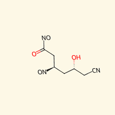 N#CC[C@@H](O)C[C@H](CC(=O)N=O)N=O